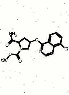 CC(C)(C)OC(=O)N1C[C@H](Oc2nccc3c(Cl)cccc23)CC1C(N)=O